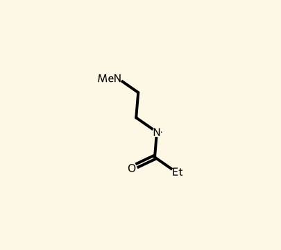 CCC(=O)[N]CCNC